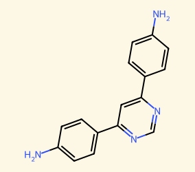 Nc1ccc(-c2cc(-c3ccc(N)cc3)ncn2)cc1